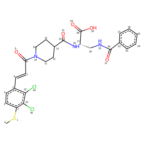 CSc1ccc(/C=C/C(=O)N2CCC(C(=O)N[C@@H](CNC(=O)c3ccccc3)C(=O)O)CC2)c(Cl)c1Cl